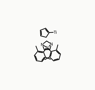 Cc1cccc(C)c1[N+]1(c2c(C)cccc2C)N2C=CN1C2.[Ti][C]1=CC=CC1